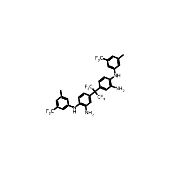 Cc1cc(Nc2ccc(C(c3ccc(Nc4cc(C)cc(C(F)(F)F)c4)c(N)c3)(C(F)(F)F)C(F)(F)F)cc2N)cc(C(F)(F)F)c1